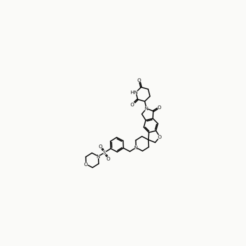 O=C1CCC(N2Cc3cc4c(cc3C2=O)OCC42CCN(Cc3cccc(S(=O)(=O)N4CCOCC4)c3)CC2)C(=O)N1